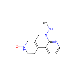 CC(C)NN1CC2=C(CC[NH+]([O-])C2)c2cccnc21